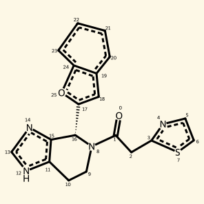 O=C(Cc1nccs1)N1CCc2[nH]cnc2[C@@H]1c1cc2ccccc2o1